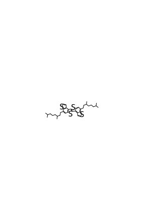 CC(C)CCCC(C)CCc1cc2sc3c(sc4cc(CCC(C)CCCC(C)C)c5sccc5c43)c2c2ccsc12